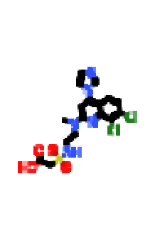 CN(CCNS(=O)(=O)CC(=O)O)c1cc(-n2ccnc2)c2ccc(Cl)c(Cl)c2n1